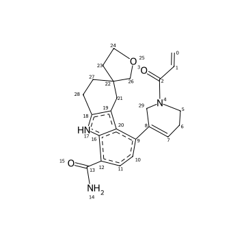 C=CC(=O)N1CCC=C(c2ccc(C(N)=O)c3[nH]c4c(c23)CC2(CCOC2)CC4)C1